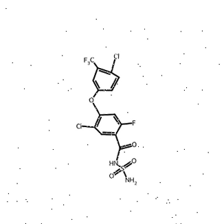 NS(=O)(=O)NC(=O)c1cc(Cl)c(Oc2ccc(Cl)c(C(F)(F)F)c2)cc1F